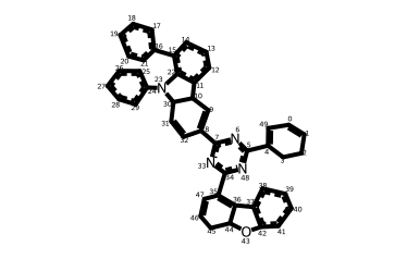 C1=CCCC(c2nc(C3=CC4c5cccc(-c6ccccc6)c5N(c5ccccc5)C4C=C3)nc(C3=C4c5ccccc5OC4CC=C3)n2)=C1